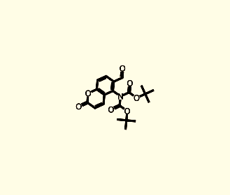 CC(C)(C)OC(=O)N(C(=O)OC(C)(C)C)c1c(C=O)ccc2oc(=O)ccc12